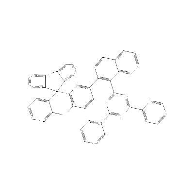 c1ccc(-c2nc(-c3ccccn3)nc(-c3c(-c4ccc5c(c4)C4(c6ccccc6O5)c5ccccc5-c5ccccc54)ccc4ccccc34)n2)cc1